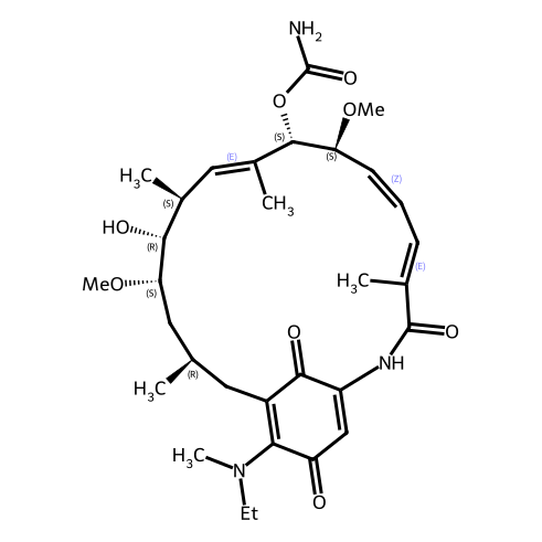 CCN(C)C1=C2C[C@@H](C)C[C@H](OC)[C@H](O)[C@@H](C)/C=C(\C)[C@H](OC(N)=O)[C@@H](OC)/C=C\C=C(/C)C(=O)NC(=CC1=O)C2=O